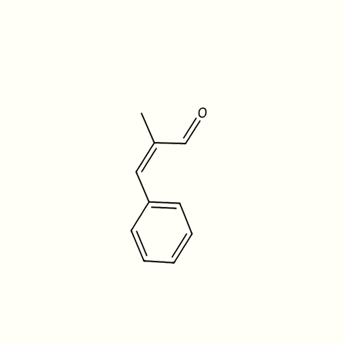 CC(C=O)=Cc1ccccc1